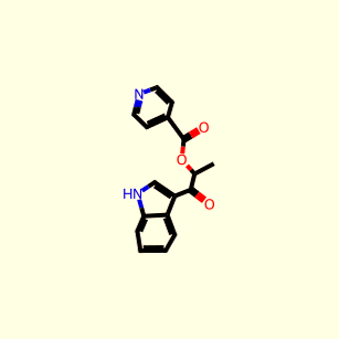 CC(OC(=O)c1ccncc1)C(=O)c1c[nH]c2ccccc12